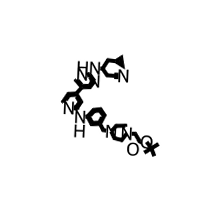 CC(C)(C)OC(=O)CN1CCN(Cc2cccc(Nc3cc(-c4cnc(NC(CC#N)CC5CC5)nc4)ccn3)c2)CC1